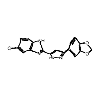 Clc1ccc2[nH]c(-c3cc(-c4ccc5c(c4)OCO5)n[nH]3)nc2c1